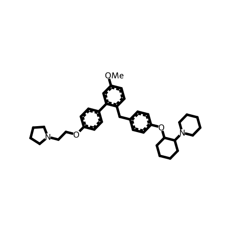 COc1ccc(Cc2ccc(OC3CCCCC3N3CCCCC3)cc2)c(-c2ccc(OCCN3CCCC3)cc2)c1